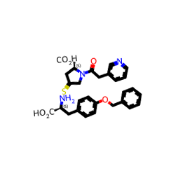 N[C@@H](Cc1ccc(OCc2ccccc2)cc1)C(=O)O.O=C(O)[C@@H]1CC(=S)CN1C(=O)Cc1cccnc1